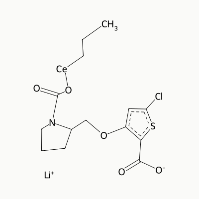 CC[CH2][Ce][O]C(=O)N1CCCC1COc1cc(Cl)sc1C(=O)[O-].[Li+]